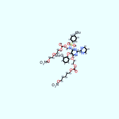 COc1ccccc1Oc1c(OCCOC(=O)OCCCCCO[N+](=O)[O-])nc(-c2ncccn2)nc1N(COC(=O)OCCOCCO[N+](=O)[O-])S(=O)(=O)c1ccc(C(C)(C)C)cc1